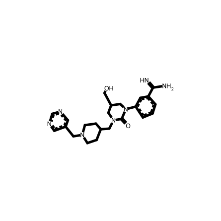 N=C(N)c1cccc(N2CC(CO)CN(CC3CCN(Cc4cncnc4)CC3)C2=O)c1